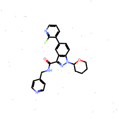 O=C(NCc1ccncc1)c1nn(C2CCCCO2)c2ccc(-c3cccnc3F)cc12